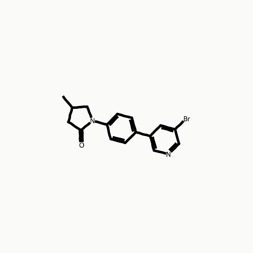 CC1CC(=O)N(c2ccc(-c3cncc(Br)c3)cc2)C1